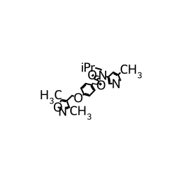 Cc1cncc(N(CC(C)C)S(=O)(=O)c2ccc(OCc3c(C)noc3C)cc2)c1